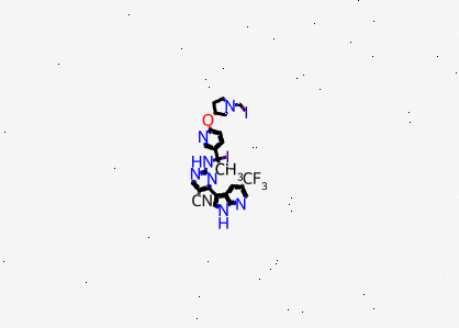 CC(I)(Nc1ncc(C#N)c(-c2c[nH]c3ncc(C(F)(F)F)cc23)n1)c1ccc(OC2CCN(CI)C2)nc1